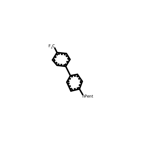 [CH2]CCCCc1ccc(-c2ccc(C(F)(F)F)cc2)cc1